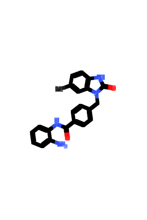 N#Cc1ccc2[nH]c(=O)n(Cc3ccc(C(=O)Nc4ccccc4N)cc3)c2c1